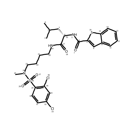 CC(C)C[C@H](NC(=O)c1cc2ccccc2s1)C(=O)NCCCCN(C)S(=O)(=O)c1ccc(Cl)cc1Cl